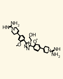 COc1cc(C2=CCN(C(=N)N)CC2)ccc1-c1nnc(-c2ccc(C3=CCN(C(=N)N)CC3)cc2OC)n1CCO